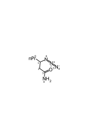 CCCC(CC(N)=O)N=[N+]=[N-]